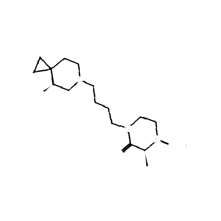 C[C@H]1C(=O)N(CCCCN2CCC3(CC3)[C@H](O)C2)CCN1C(=O)O